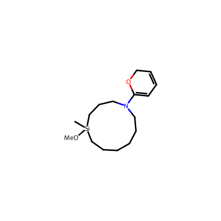 CO[Si]1(C)CCCCCCN(C2=CC=CCO2)CCC1